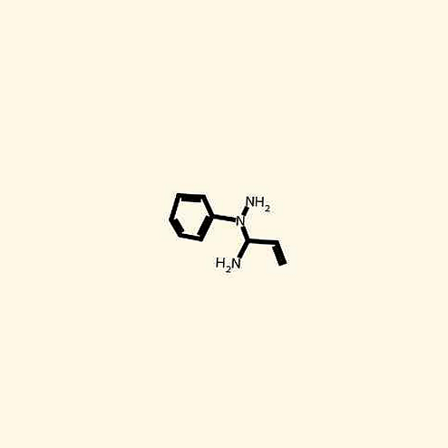 C=CC(N)N(N)c1ccccc1